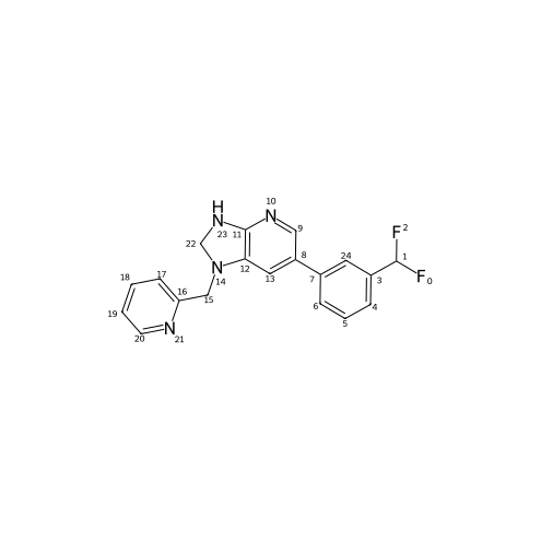 FC(F)c1cccc(-c2cnc3c(c2)N(Cc2ccccn2)CN3)c1